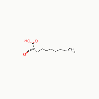 CCCCCCCCC(=C=O)C(=O)O